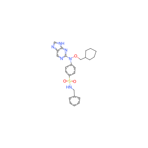 O=S(=O)(NCc1ccccc1)c1ccc(N(OCC2CCCCC2)c2ncc3nc[nH]c3n2)cc1